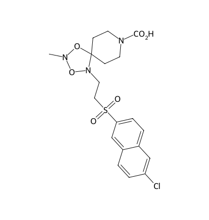 CN1ON(CCS(=O)(=O)c2ccc3cc(Cl)ccc3c2)C2(CCN(C(=O)O)CC2)O1